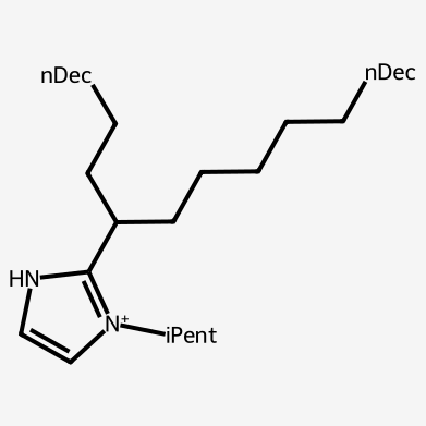 CCCCCCCCCCCCCCCC(CCCCCCCCCCCC)c1[nH]cc[n+]1C(C)CCC